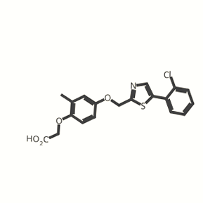 Cc1cc(OCc2ncc(-c3ccccc3Cl)s2)ccc1OCC(=O)O